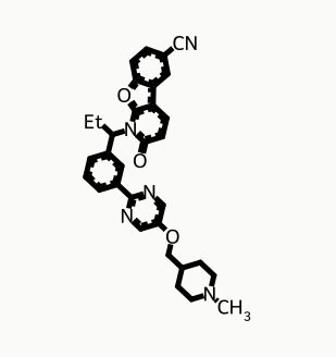 CCC(c1cccc(-c2ncc(OCC3CCN(C)CC3)cn2)c1)n1c(=O)ccc2c3cc(C#N)ccc3oc21